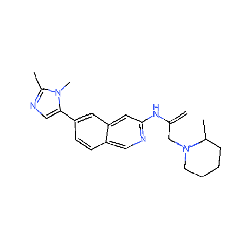 C=C(CN1CCCCC1C)Nc1cc2cc(-c3cnc(C)n3C)ccc2cn1